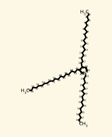 CCCCCCCCCCCCCCCCCCCc1cc[n+](CCCCCCCCCCCCCCCCC)cc1CCCCCCCCCCCCCCCCCCC